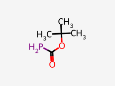 CC(C)(C)OC(=O)P